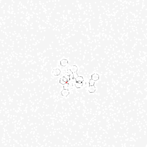 c1ccc(-n2c3ccccc3c3cccc(-n4c5ccc(-n6c7ccccc7c7ccccc76)cc5c5cccc([Si](c6ccccc6)(c6ccccc6)c6ccccc6)c54)c32)cc1